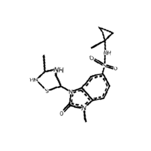 CC1NSC(n2c(=O)n(C)c3ccc(S(=O)(=O)NC4(C)CC4)cc32)N1